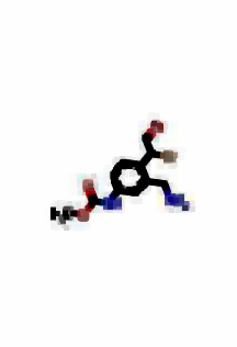 COC(=O)Nc1ccc(C(Br)C=O)c(CN)c1